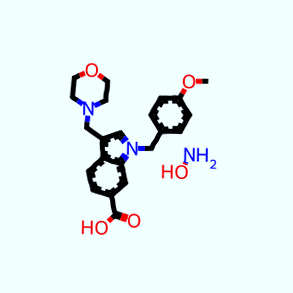 COc1ccc(Cn2cc(CN3CCOCC3)c3ccc(C(=O)O)cc32)cc1.NO